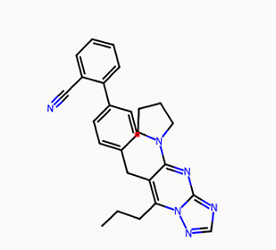 CCCc1c(Cc2ccc(-c3ccccc3C#N)cc2)c(N2CCCC2)nc2ncnn12